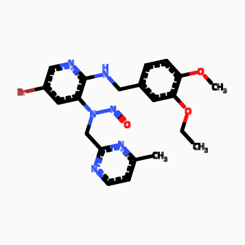 CCOc1cc(CNc2ncc(Br)cc2N(Cc2nccc(C)n2)N=O)ccc1OC